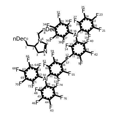 CCCCCCCCCCCC1CN=CN1CCCCCCCCCCC.Fc1c(F)c(F)[c]([Al]([c]2c(F)c(F)c(F)c(F)c2F)[c]2c(F)c(F)c(F)c(F)c2F)c(F)c1F.Fc1c(F)c(F)[c]([Al]([c]2c(F)c(F)c(F)c(F)c2F)[c]2c(F)c(F)c(F)c(F)c2F)c(F)c1F